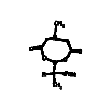 CCCCCC(C)(CC)B1OC(=O)CN(C)CC(=O)O1